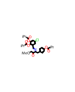 COCC(=O)C(Cc1ccc(OC(=O)C(C)C)cc1)N=Cc1cc(Cl)cc(OC(=O)C(C)C)c1OC(=O)C(C)C